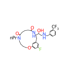 CCCN1CCCCOc2cc(F)cc(c2)CC(C(O)CNCc2cccc(C(F)(F)F)c2)NC(=O)CCCC1=O